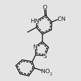 Cc1[nH]c(=O)c(C#N)cc1-c1csc(-c2ccccc2[N+](=O)[O-])n1